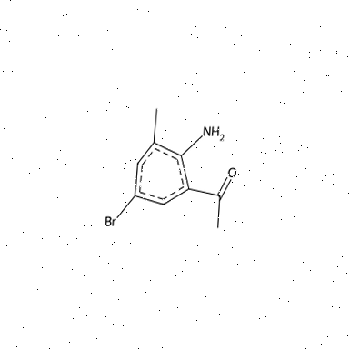 CC(=O)c1cc(Br)cc(C)c1N